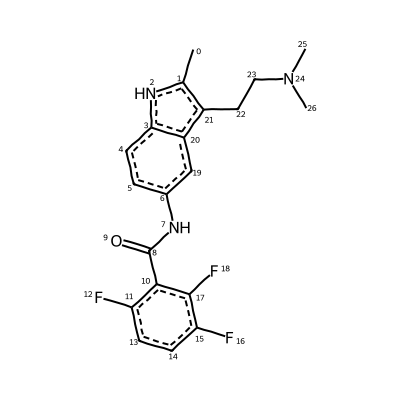 Cc1[nH]c2ccc(NC(=O)c3c(F)ccc(F)c3F)cc2c1CCN(C)C